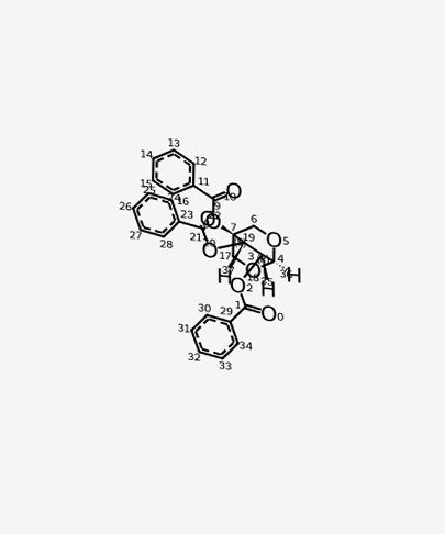 O=C(O[C@H]1[C@H]2OC[C@@](OC(=O)c3ccccc3)(CO2)[C@H]1OC(=O)c1ccccc1)c1ccccc1